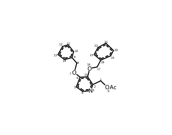 CC(=O)OCc1nccc(OCc2ccccc2)c1OCc1ccccc1